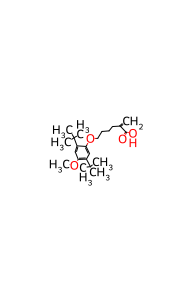 C=C(CCCCOc1cc(C(C)(C)C)c(OC)cc1C(C)(C)C)C(=O)O